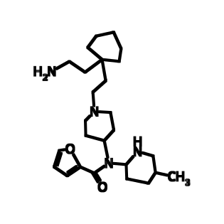 CC1CCC(N(C(=O)c2ccco2)C2CCN(CCC3(CCN)CCCCC3)CC2)NC1